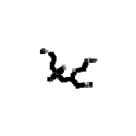 CCCCCCCCCCCCS(=O)(=O)CC(CO)OCCCCCCCCCCC